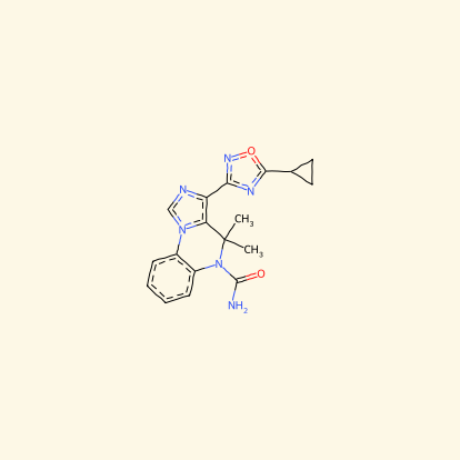 CC1(C)c2c(-c3noc(C4CC4)n3)ncn2-c2ccccc2N1C(N)=O